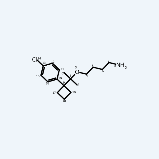 CC(C)(OCCCCN)C1(c2ccc(Cl)cc2)CCC1